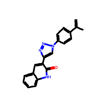 C=C(C)c1ccc(-n2cc(-c3cc4ccccc4[nH]c3=O)nn2)cc1